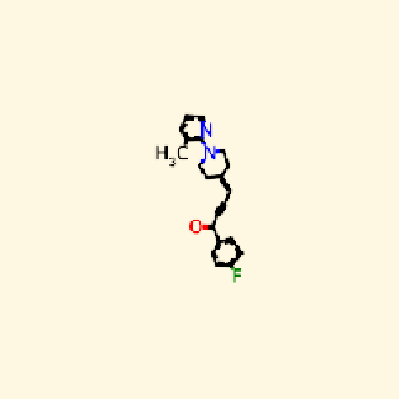 Cc1cccnc1N1CCC(=CC#CC(=O)c2ccc(F)cc2)CC1